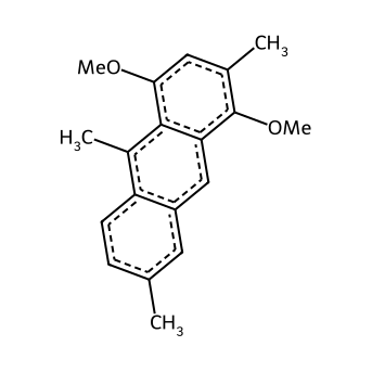 COc1c(C)cc(OC)c2c(C)c3ccc(C)cc3cc12